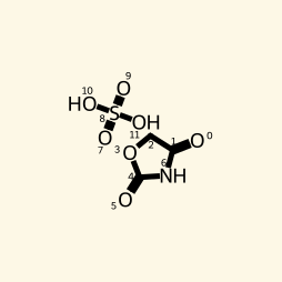 O=C1COC(=O)N1.O=S(=O)(O)O